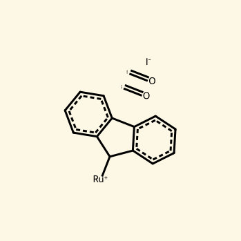 [C]=O.[C]=O.[I-].[Ru+][CH]1c2ccccc2-c2ccccc21